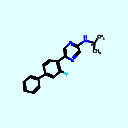 C[C@@H](Nc1cnc(-c2ccc(-c3ccccc3)cc2F)cn1)C(F)(F)F